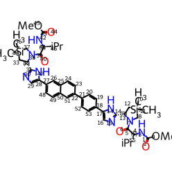 COC(=O)N[C@H](C(=O)N1C[Si](C)(C)C[C@H]1c1ncc(-c2ccc(-c3ccc4cc(-c5cnc([C@@H]6C[Si](C)(C)CN6C(=O)[C@@H](NC(=O)OC)C(C)C)[nH]5)ccc4c3)cc2)[nH]1)C(C)C